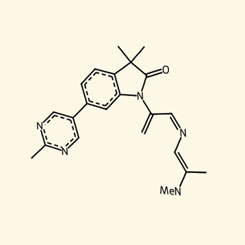 C=C(/C=N\C=C(/C)NC)N1C(=O)C(C)(C)c2ccc(-c3cnc(C)nc3)cc21